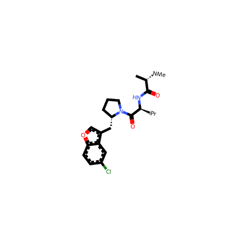 CN[C@@H](C)C(=O)N[C@H](C(=O)N1CCC[C@H]1Cc1coc2ccc(Cl)cc12)C(C)C